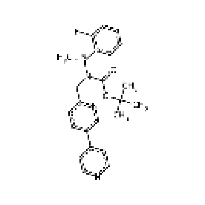 C[C@H](c1ccccc1F)N(Cc1ccc(-c2ccncc2)cn1)C(=O)OC(C)(C)C